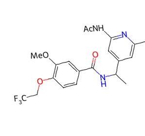 COc1cc(C(=O)NC(C)c2cc(C)nc(NC(C)=O)c2)ccc1OCC(F)(F)F